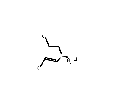 CN(C=CCl)CCCl.Cl